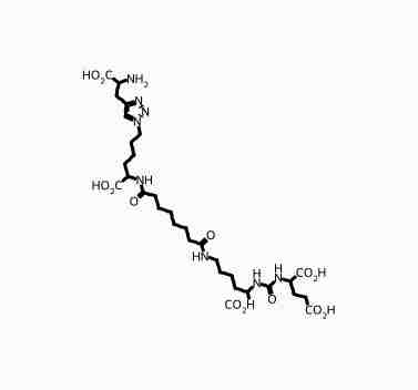 NC(Cc1cn(CCCCC(NC(=O)CCCCCCC(=O)NCCCCC(NC(=O)NC(CCC(=O)O)C(=O)O)C(=O)O)C(=O)O)nn1)C(=O)O